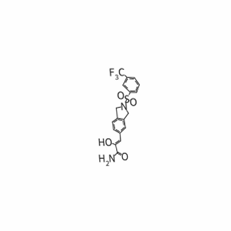 NC(=O)C(O)=Cc1ccc2c(c1)CN(S(=O)(=O)c1cccc(C(F)(F)F)c1)C2